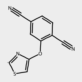 N#Cc1ccc(C#N)c(Oc2cs[c]n2)c1